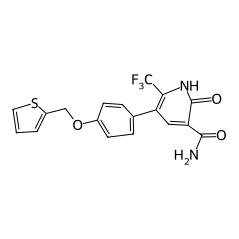 NC(=O)c1cc(-c2ccc(OCc3cccs3)cc2)c(C(F)(F)F)[nH]c1=O